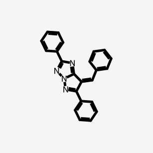 C(/c1ccccc1)=c1\c(-c2ccccc2)nn2nc(-c3ccccc3)nc12